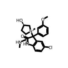 CNC(=O)[C@@H]1C[C@@H](O)C[N+]1(C)C1(c2cccc(OC)c2)C(=O)Nc2ccc(Cl)cc21